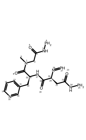 CN(CC(=O)NP)C(=O)[C@H](Cc1cccnc1)NC(=O)[C@H](CC(=O)NP)N=P